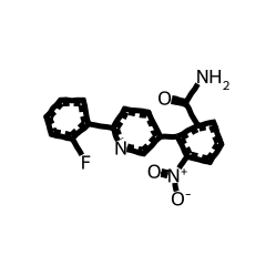 NC(=O)c1cccc([N+](=O)[O-])c1-c1ccc(-c2ccccc2F)nc1